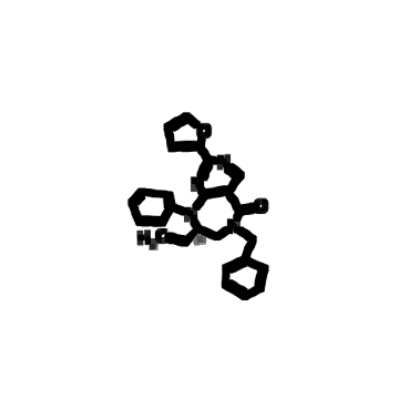 C=C[C@@H]1CN(Cc2ccccc2)C(=O)c2cnc(-c3ccco3)nc2N1c1ccccc1